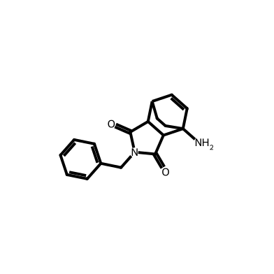 NC12C=CC(CC1)C1C(=O)N(Cc3ccccc3)C(=O)C12